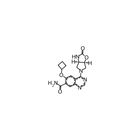 NC(=O)c1cc2ncnc(N3C[C@@H]4NC(=O)O[C@@H]4C3)c2cc1OC1CCC1